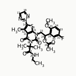 CCNC(=O)C(C)(C)n1c(=O)c2c(C)c(-n3nccn3)sc2n(CC(OC(C)=O)c2cc(F)ccc2OC)c1=O